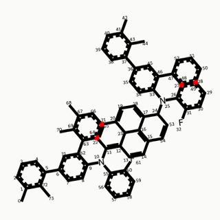 Cc1cccc(-c2ccc(N(C3=C4C=CC5=C6C(=CC=C(C=C3)C46)C(N(c3ccccc3F)c3ccc(-c4cccc(C)c4C)cc3-c3ccccc3)C=C5)c3ccccc3F)c(-c3cccc(C)c3C)c2)c1C